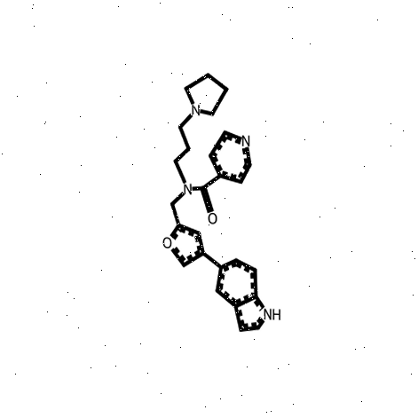 O=C(c1ccncc1)N(CCCN1CCCC1)Cc1cc(-c2ccc3[nH]ccc3c2)co1